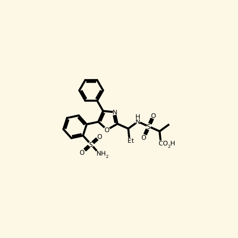 CCC(NS(=O)(=O)C(C)C(=O)O)c1nc(-c2ccccc2)c(-c2ccccc2S(N)(=O)=O)o1